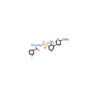 CCN(CCNS(=O)(=O)c1cccc(-c2ccc(OC)nc2)c1C)C(=O)c1cccc(F)c1